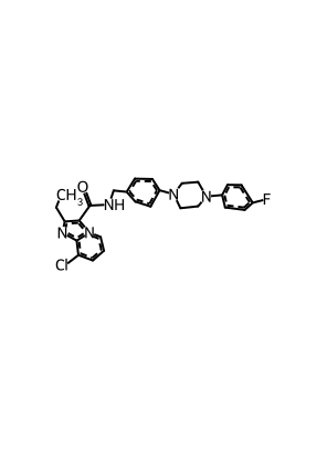 CCc1nc2c(Cl)cccn2c1C(=O)NCc1ccc(N2CCN(c3ccc(F)cc3)CC2)cc1